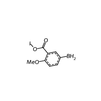 Bc1ccc(OC)c(C(=O)OI)c1